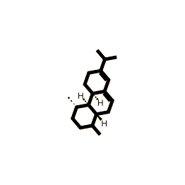 C[C]1CC[C@H](C)[C@@H]2[C@@H]1CC=C1C=C(C(C)C)CC[C@@H]12